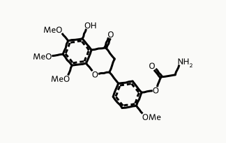 COc1ccc(C2CC(=O)c3c(O)c(OC)c(OC)c(OC)c3O2)cc1OC(=O)CN